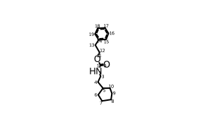 O=C(NCCC1CCCCC1)OCCc1ccccc1